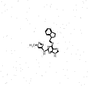 Cn1cc(Nc2nc(/N=C/C3CCc4ccccc43)c3nc[nH]c3n2)nn1